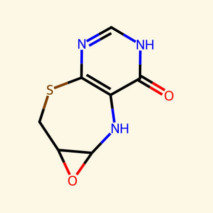 O=c1[nH]cnc2c1NC1OC1CS2